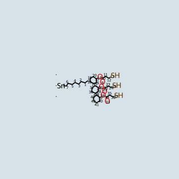 CCCCCCC[CH2][Sn].O=C(CCS)OC1CCCCC1.O=C(CCS)OC1CCCCC1.O=C(CCS)OC1CCCCC1